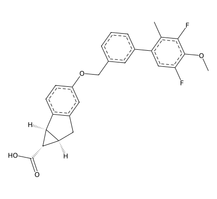 COc1c(F)cc(-c2cccc(COc3ccc4c(c3)C[C@H]3[C@H](C(=O)O)[C@@H]43)c2)c(C)c1F